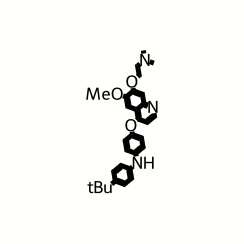 COc1cc2c(Oc3ccc(Nc4ccc(C(C)(C)C)cc4)cc3)ccnc2cc1OCCN(C)C